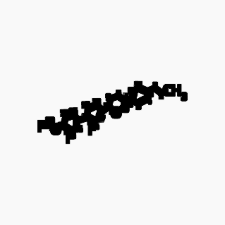 CCCc1ccc(C2CCC(c3ccc(-c4ccc(OCF)c(F)c4)c(F)c3)OC2)cc1